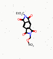 CCOC(=O)n1c(=O)c2cc3c(=O)n(CO[N+](=O)[O-])c(=O)c3cc2c1=O